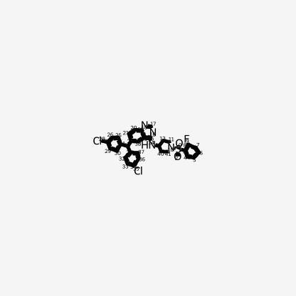 O=S(=O)(c1ccccc1F)N1CCC(Nc2ncnc3ccc(C(c4ccc(Cl)cc4)c4ccc(Cl)cc4)cc23)CC1